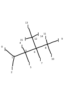 I[C](I)C(I)(I)C(I)(C(I)(I)I)C(I)(I)I